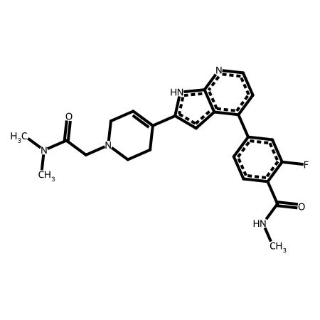 CNC(=O)c1ccc(-c2ccnc3[nH]c(C4=CCN(CC(=O)N(C)C)CC4)cc23)cc1F